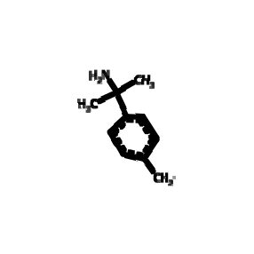 [CH2]c1ccc(C(C)(C)N)cc1